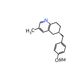 COc1ccc(C[C@@H]2CCc3ncc(C)cc3C2)cc1